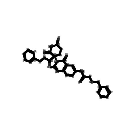 Cc1nc2ccc(NC(=O)COCc3ccccc3)cc2c(=O)n1[C@@]1(C(=O)OCc2ccccc2)CCC(=O)NC1=O